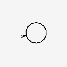 O=C1CCCCCCCCCCSCC1